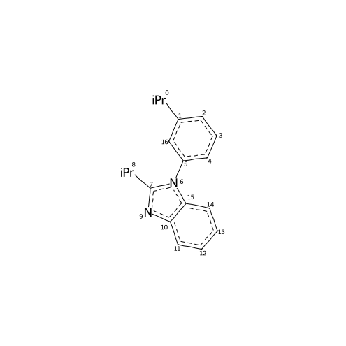 CC(C)c1cccc(-n2c(C(C)C)nc3ccccc32)c1